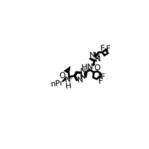 CCCC(=O)N[C@@H](c1cnn2cc([C@@H](NC(=O)c3cnn(CC4CCC4(F)F)n3)C3CCC(F)(F)CC3)nc2c1)C1CC1